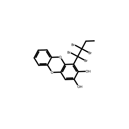 CCC(Br)(Br)C(Br)(Br)c1c(O)c(O)cc2c1Oc1ccccc1O2